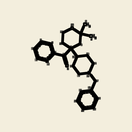 CC1(C)CC(C(=O)c2ccccn2)(C2CCN(Cc3ccccc3)CC2)CCO1